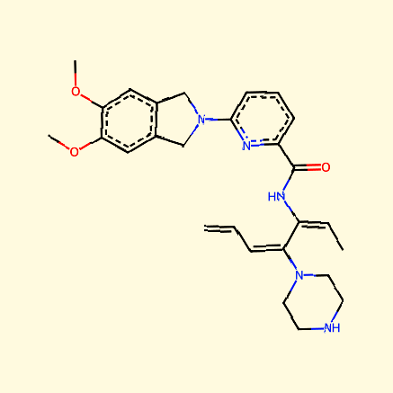 C=C/C=C(\C(=C/C)NC(=O)c1cccc(N2Cc3cc(OC)c(OC)cc3C2)n1)N1CCNCC1